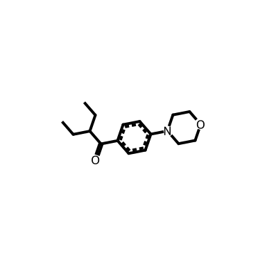 CCC(CC)C(=O)c1ccc(N2CCOCC2)cc1